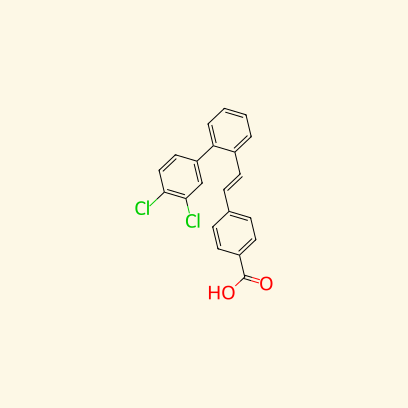 O=C(O)c1ccc(C=Cc2ccccc2-c2ccc(Cl)c(Cl)c2)cc1